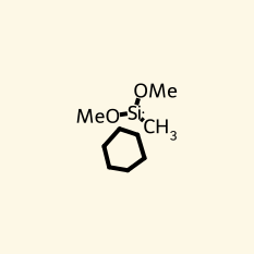 C1CCCCC1.CO[Si](C)OC